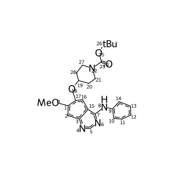 COc1cc2ncnc(Nc3ccccc3)c2cc1OC1CCN(C(=O)OC(C)(C)C)CC1